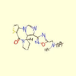 CCCN(CCC)Cc1nc(-c2ncn3c2[C@@H]2CCCN2C(=O)c2sccc2-3)no1